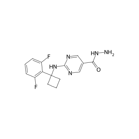 NNC(=O)c1cnc(NC2(c3c(F)cccc3F)CCC2)nc1